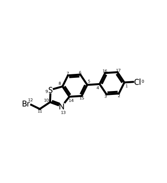 Clc1ccc(-c2ccc3sc(CBr)nc3c2)cc1